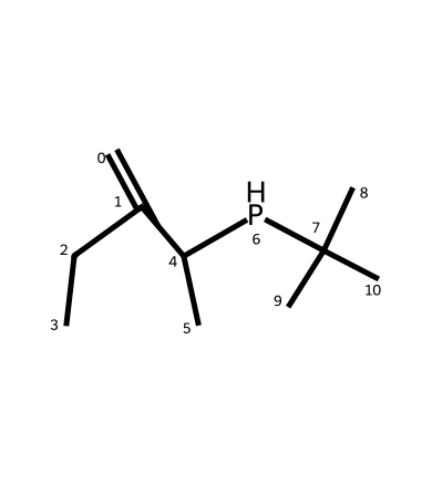 C=C(CC)C(C)PC(C)(C)C